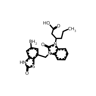 Bc1cc(Cn2c(=O)n(C(CCC)CC(=O)O)c3ccccc32)c2sc(=O)[nH]c2c1